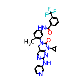 Cc1ccc(NC(=O)c2cccc(C(F)(F)F)c2)cc1N1Cc2cnc(Nc3cccnc3)nc2N(C2CC2)C1=O